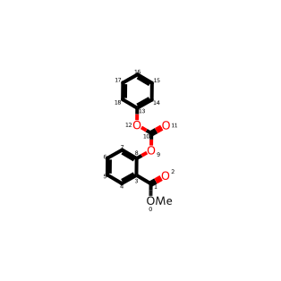 COC(=O)c1ccccc1OC(=O)Oc1ccccc1